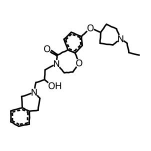 CCCN1CCC(Oc2ccc3c(c2)OCCN(CC(O)CN2CCc4ccccc4C2)C3=O)CC1